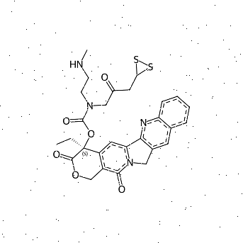 CC[C@@]1(OC(=O)N(CCNC)CC(=O)CC2SS2)C(=O)OCc2c1cc1n(c2=O)Cc2cc3ccccc3nc2-1